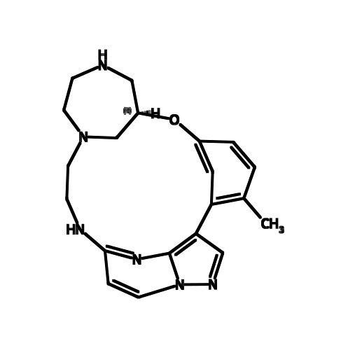 Cc1ccc2cc1-c1cnn3ccc(nc13)NCCN1CCNC[C@H](C1)O2